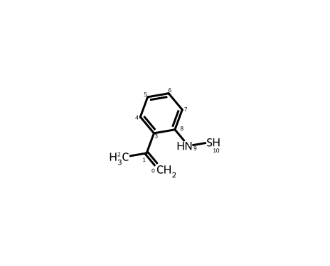 C=C(C)c1ccccc1NS